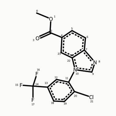 COC(=O)c1ccc2ncn(-c3cc(C(F)(F)F)ccc3Cl)c2c1